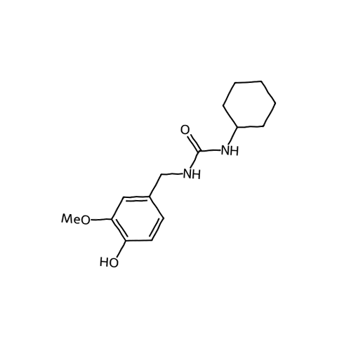 COc1cc(CNC(=O)NC2CCCCC2)ccc1O